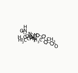 Cc1c(-c2ccc(C=O)cc2)cccc1-c1cccc(-c2ccn3c(CN(C[C@@H]4CCC(=O)N4)C(=O)OC(C)(C)C)nnc3c2)c1C